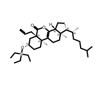 C=CC[C@]12C[C@@H](O[Si](CC)(CC)CC)CC[C@]1(C)C1=C(OC2=O)[C@@H]2CC[C@H]([C@H](C)CCCC(C)C)[C@@]2(C)CC1